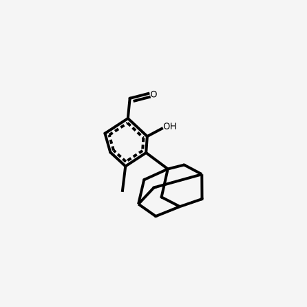 Cc1ccc(C=O)c(O)c1C12CC3CC(CC(C3)C1)C2